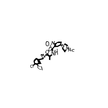 CC(=O)N1CCN(c2ccc([N+](=O)[O-])c(C(=O)NC(C)C(=O)N(C)Cc3ccc(Cl)c(Cl)c3)c2)CC1